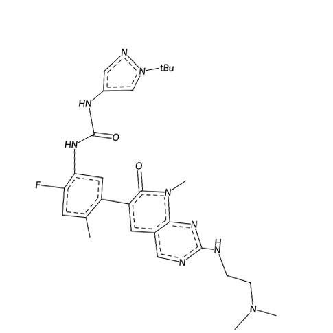 Cc1cc(F)c(NC(=O)Nc2cnn(C(C)(C)C)c2)cc1-c1cc2cnc(NCCN(C)C)nc2n(C)c1=O